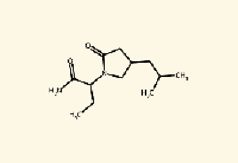 CCC(C(N)=O)N1CC(CC(C)C)CC1=O